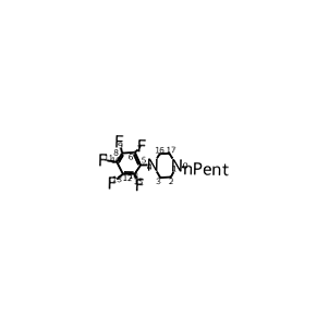 [CH2]CCCCN1CCN(c2c(F)c(F)c(F)c(F)c2F)CC1